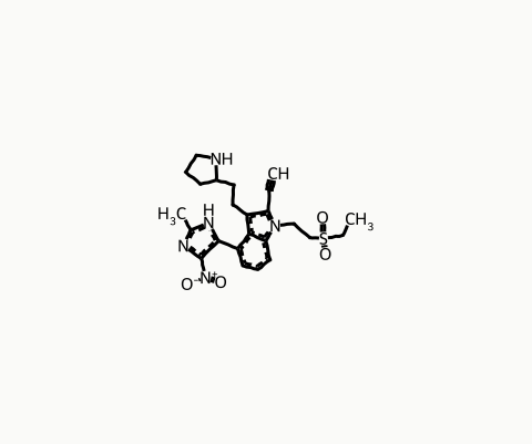 C#Cc1c(CCC2CCCN2)c2c(-c3[nH]c(C)nc3[N+](=O)[O-])cccc2n1CCS(=O)(=O)CC